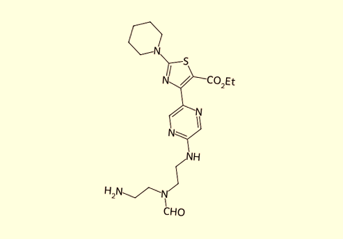 CCOC(=O)c1sc(N2CCCCC2)nc1-c1cnc(NCCN(C=O)CCN)cn1